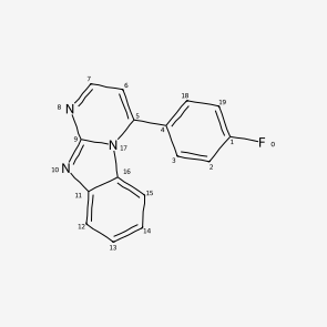 Fc1ccc(-c2ccnc3nc4ccccc4n23)cc1